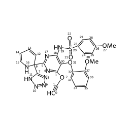 C#COc1nc(C2(c3nnn[nH]3)C=CC=CN2)nc(NS(=O)(=O)c2ccc(OC)cc2)c1Oc1ccccc1OC